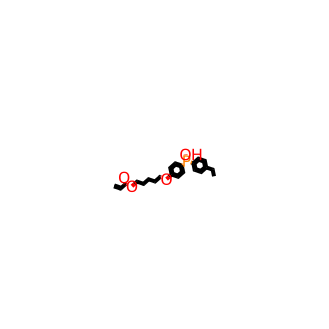 C=CC(=O)OCCCCCOc1ccc(P(O)c2ccc(CC)cc2)cc1